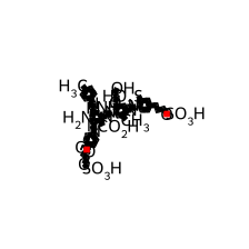 Cc1ccc(N=Nc2c(N)c(N=Nc3ccc(S(=O)(=O)CCOS(=O)(=O)O)cc3)c(C(=O)O)c(N=Nc3cc(C)c(N=Nc4ccc(CCCOS(=O)(=O)O)cc4S(=O)(=O)O)cc3OCCO)c2N)cc1